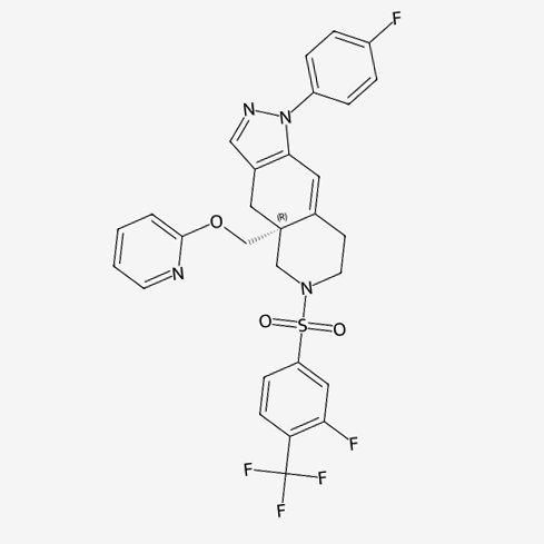 O=S(=O)(c1ccc(C(F)(F)F)c(F)c1)N1CCC2=Cc3c(cnn3-c3ccc(F)cc3)C[C@]2(COc2ccccn2)C1